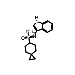 NS(=O)(=Nc1c[nH]c2ccccc12)C1CCC2(CC1)CC2